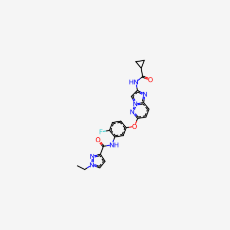 CCn1ccc(C(=O)Nc2cc(Oc3ccc4nc(NC(=O)C5CC5)cn4n3)ccc2F)n1